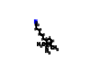 CC1=CCC(CC=CCCC#N)C1(C)C